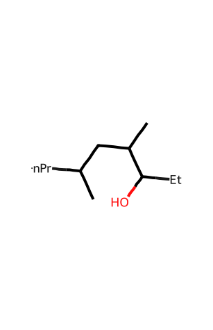 CC[CH]C(C)CC(C)C(O)CC